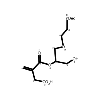 C=C(CC(=O)O)C(=O)OC(CO)COCCCCCCCCCCCC